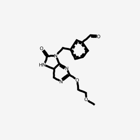 COCCOC1=NCC2NC(=O)N(Cc3cccc(C=O)c3)C2=N1